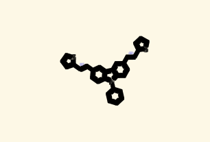 C(=C\c1cccs1)/c1ccc2c(c1)c1cc(/C=C/c3cccs3)ccc1n2-c1ccccc1